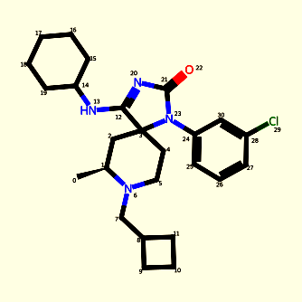 C[C@H]1CC2(CCN1CC1CCC1)C(NC1CCCCC1)=NC(=O)N2c1cccc(Cl)c1